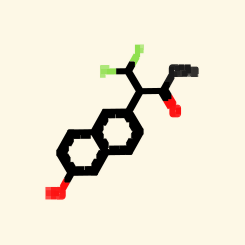 COC(=O)C(c1ccc2cc(O)ccc2c1)C(F)F